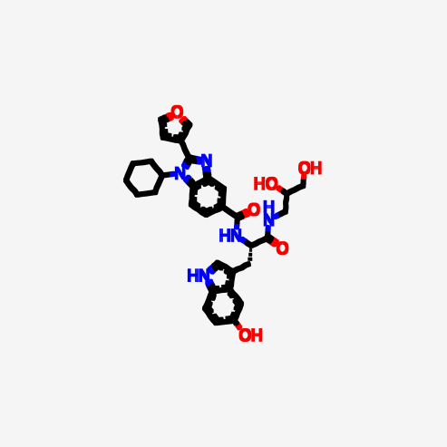 O=C(N[C@@H](Cc1c[nH]c2ccc(O)cc12)C(=O)NCC(O)CO)c1ccc2c(c1)nc(-c1ccoc1)n2C1CCCCC1